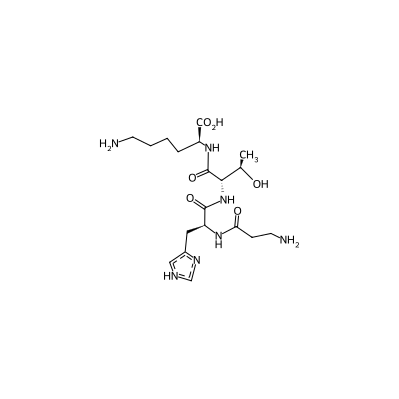 C[C@@H](O)[C@H](NC(=O)[C@H](Cc1c[nH]cn1)NC(=O)CCN)C(=O)N[C@@H](CCCCN)C(=O)O